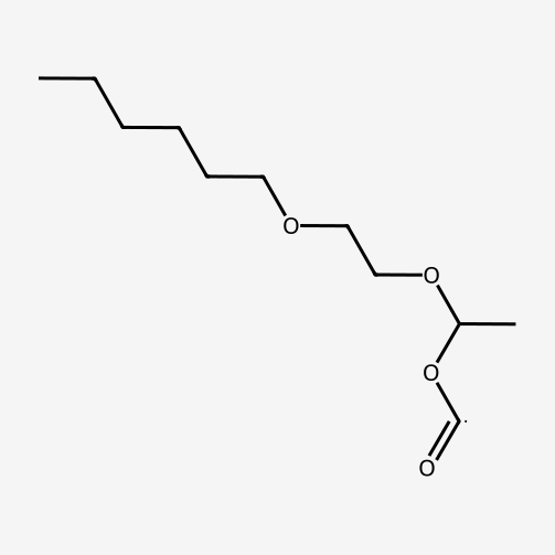 CCCCCCOCCOC(C)O[C]=O